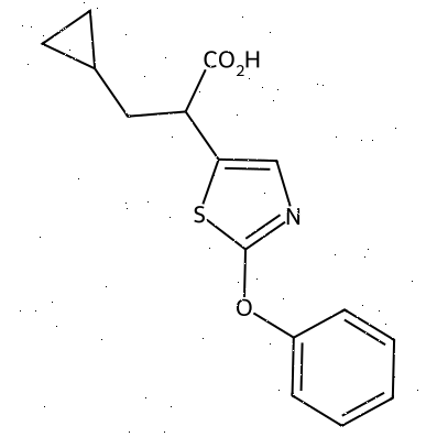 O=C(O)C(CC1CC1)c1cnc(Oc2ccccc2)s1